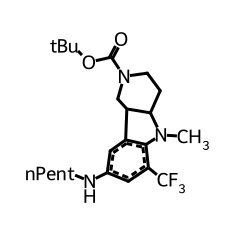 CCCCCNc1cc2c(c(C(F)(F)F)c1)N(C)C1CCN(C(=O)OC(C)(C)C)CC21